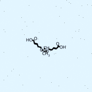 C[Si](C)(O[CH]CC=CC(=O)O)O[CH]CC=CC(=O)O